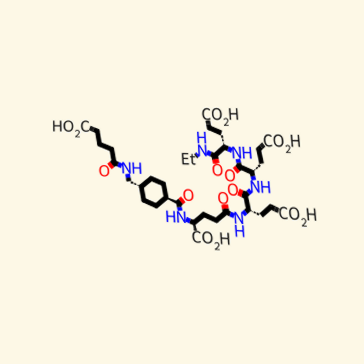 CCNC(=O)[C@H](CCC(=O)O)NC(=O)[C@H](CCC(=O)O)NC(=O)[C@H](CCC(=O)O)NC(=O)CC[C@H](NC(=O)[C@H]1CC[C@H](CNC(=O)CCCC(=O)O)CC1)C(=O)O